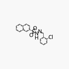 O=S(=O)(N/N=C\c1ccccc1Cl)c1ccc2ccccc2c1